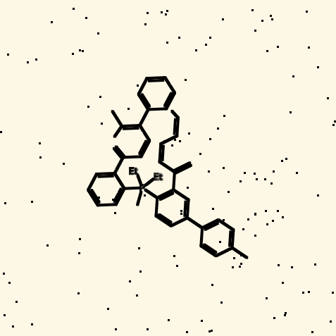 C=C(/C=C\C(=C(C)C)c1ccccc1)c1ccccc1P(C)(CC)(CC)c1ccc(-c2ccc(C)cc2)cc1C(=C)/C=C\C=C/C